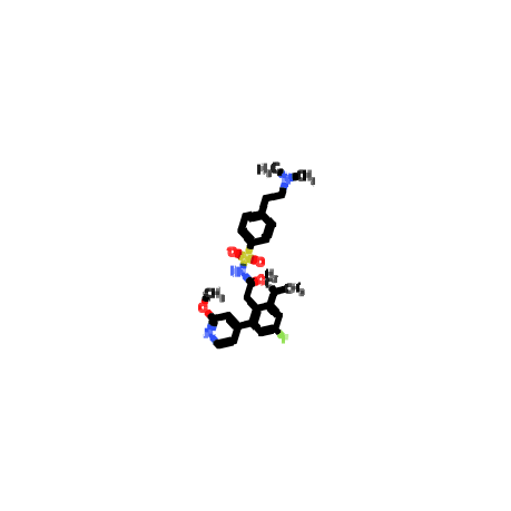 COc1cc(-c2cc(F)cc(C(C)C)c2CC(=O)NS(=O)(=O)c2ccc(CCN(C)C)cc2)ccn1